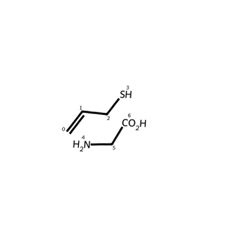 C=CCS.NCC(=O)O